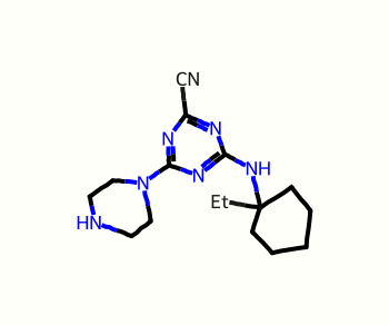 CCC1(Nc2nc(C#N)nc(N3CCNCC3)n2)CCCCC1